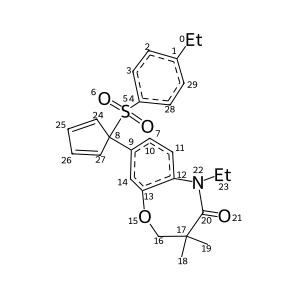 CCc1ccc(S(=O)(=O)C2(c3ccc4c(c3)OCC(C)(C)C(=O)N4CC)C=CC=C2)cc1